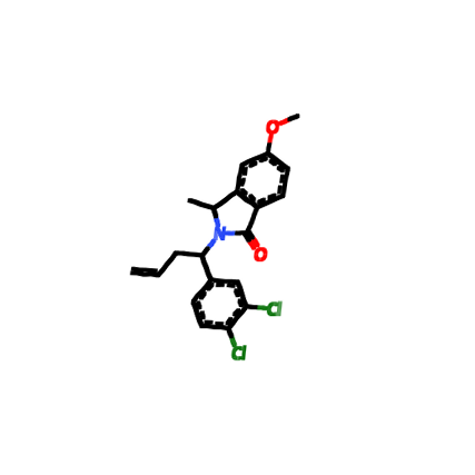 C=CCC(c1ccc(Cl)c(Cl)c1)N1C(=O)c2ccc(OC)cc2C1C